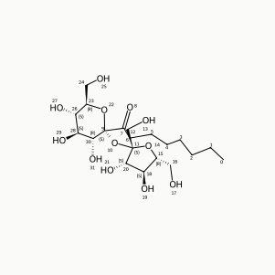 CCCCCCCC(=O)[C@]1(O[C@]2(CO)O[C@H](CO)[C@@H](O)[C@@H]2O)O[C@H](CO)[C@@H](O)[C@H](O)[C@H]1O